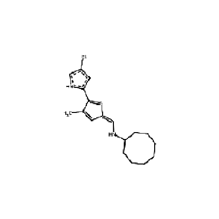 CCc1c[nH]c(C2=N/C(=C/NC3CCCCCCC3)C=C2C)c1